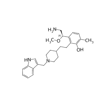 CO[C@@H](CN)c1ccc(C)c(O)c1CCC1CCN(Cc2c[nH]c3ccccc23)CC1